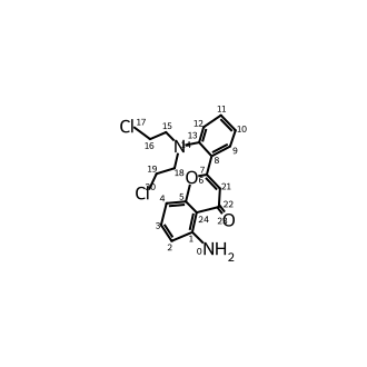 Nc1cccc2oc(-c3ccccc3N(CCCl)CCCl)cc(=O)c12